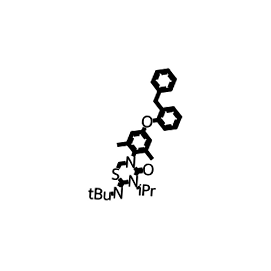 Cc1cc(Oc2ccccc2Cc2ccccc2)cc(C)c1N1CS/C(=N\C(C)(C)C)N(C(C)C)C1=O